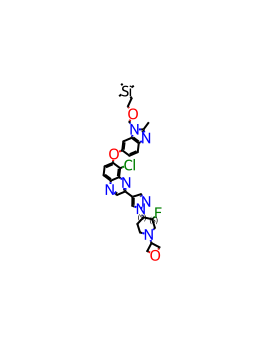 Cc1nc2ccc(Oc3ccc4ncc(-c5cnn([C@H]6CCN(C7COC7)C[C@@H]6F)c5)nc4c3Cl)cc2n1COCC[Si](C)(C)C